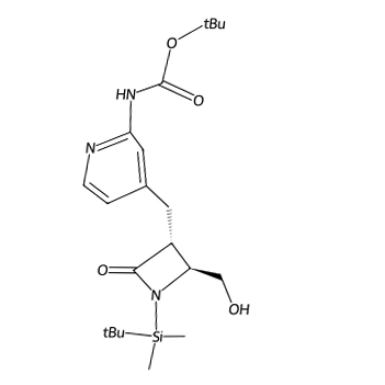 CC(C)(C)OC(=O)Nc1cc(C[C@H]2C(=O)N([Si](C)(C)C(C)(C)C)[C@@H]2CO)ccn1